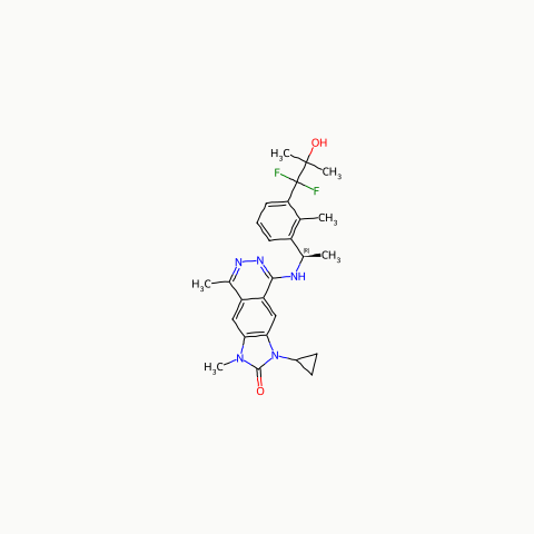 Cc1c([C@@H](C)Nc2nnc(C)c3cc4c(cc23)n(C2CC2)c(=O)n4C)cccc1C(F)(F)C(C)(C)O